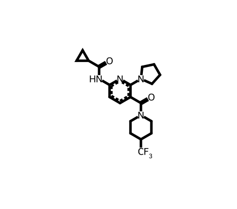 O=C(Nc1ccc(C(=O)N2CCC(C(F)(F)F)CC2)c(N2CCCC2)n1)C1CC1